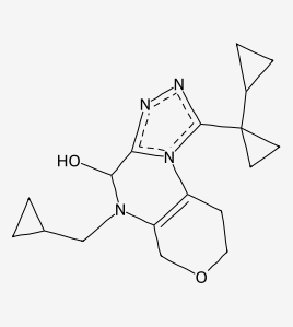 OC1c2nnc(C3(C4CC4)CC3)n2C2=C(COCC2)N1CC1CC1